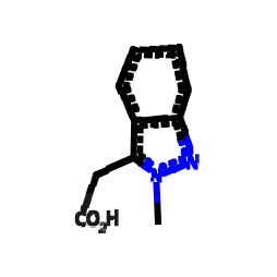 Cn1nc2ccccc2c1CC(=O)O